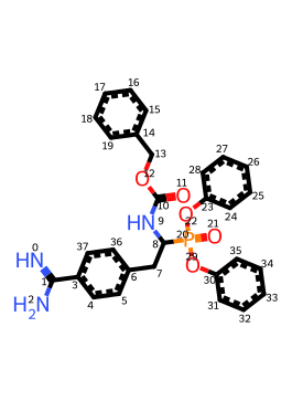 N=C(N)c1ccc(CC(NC(=O)OCc2ccccc2)P(=O)(Oc2ccccc2)Oc2ccccc2)cc1